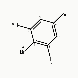 Cc1cc(I)c(Br)c(I)c1